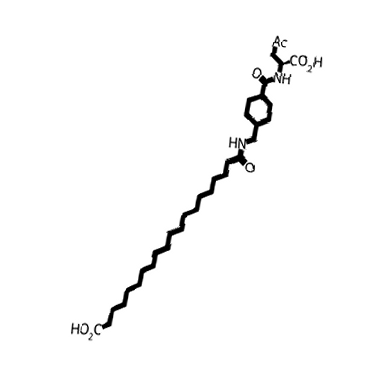 CC(=O)C[C@H](NC(=O)C1CCC(CNC(=O)CCCCCCCCCCCCCCCCCCC(=O)O)CC1)C(=O)O